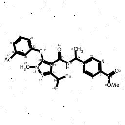 COC(=O)c1ccc(C(C)NC(=O)c2c(C(F)F)nn(C)c2Oc2cccc(C(C)=O)c2)cc1